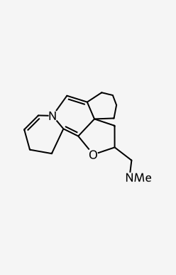 CNCC1CC23CCCCC2=CN2C=CCCC2=C3O1